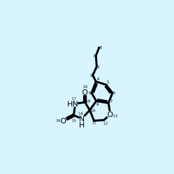 CCCCc1ccc2c(c1)C1(CCO2)NC(=O)NC1=O